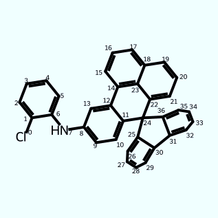 Clc1ccccc1Nc1ccc2c(c1)-c1cccc3cccc(c13)C21c2ccccc2-c2ccccc21